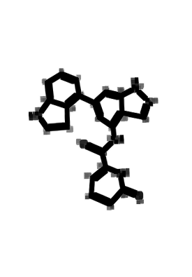 O=C(Nc1cc(-c2cccc3[nH]ccc23)cc2[nH]ncc12)c1cccc(=O)[nH]1